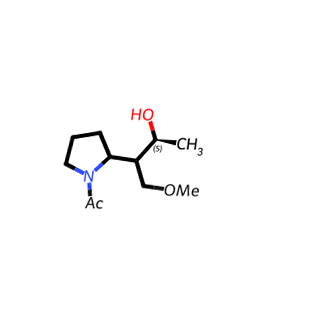 COCC(C1CCCN1C(C)=O)[C@H](C)O